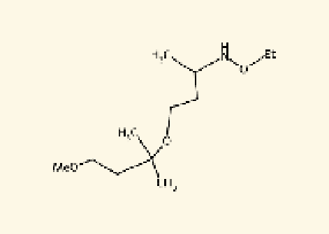 CCONC(C)CCOC(C)(C)CCOC